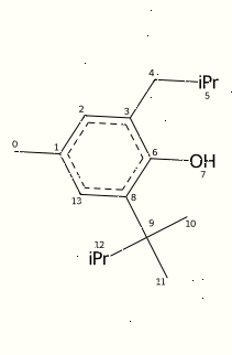 Cc1cc(CC(C)C)c(O)c(C(C)(C)C(C)C)c1